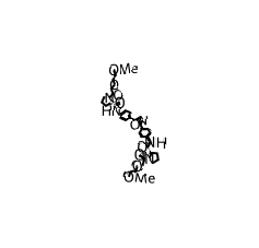 COCCOCC(=O)N1CCC[C@H]1C(=O)Nc1ccc(-c2cnc(-c3ccc(NC(=O)[C@@H]4CCCN4C(=O)COCCOC)cc3)o2)cc1